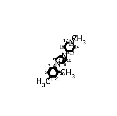 Cc1ccc(N2CC3CC2CN3C2CCN(C)CC2)c(C)c1